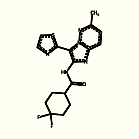 Cc1ccc2nc(NC(=O)C3CCC(F)(F)CC3)c(-c3nccs3)n2n1